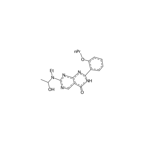 CCCOc1ccccc1-c1nc2nc(N(CC)C(C)O)ncc2c(=O)[nH]1